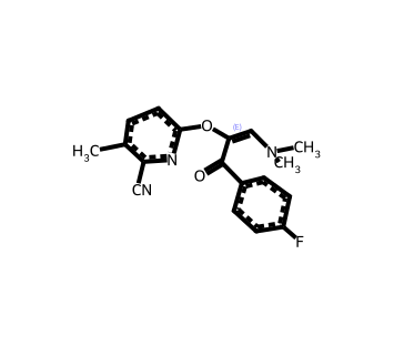 Cc1ccc(O/C(=C/N(C)C)C(=O)c2ccc(F)cc2)nc1C#N